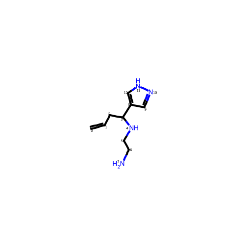 C=CCC(NCCN)c1cn[nH]c1